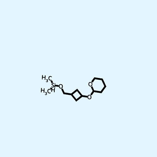 C[SiH](C)OCC1CC(OC2CCCCO2)C1